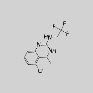 CC1NC(NCC(F)(F)F)=Nc2cccc(Cl)c21